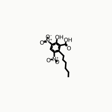 CCCCCCc1c([N+](=O)[O-])cc([N+](=O)[O-])c(O)c1C(=O)O